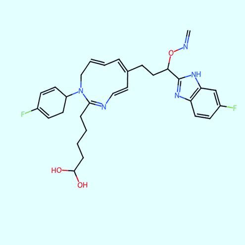 C=NOC(CCC1=C/C=C/CN(C2C=CC(F)=CC2)/C(CCCCC(O)O)=N\C=C\1)c1nc2ccc(F)cc2[nH]1